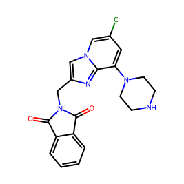 O=C1c2ccccc2C(=O)N1Cc1cn2cc(Cl)cc(N3CCNCC3)c2n1